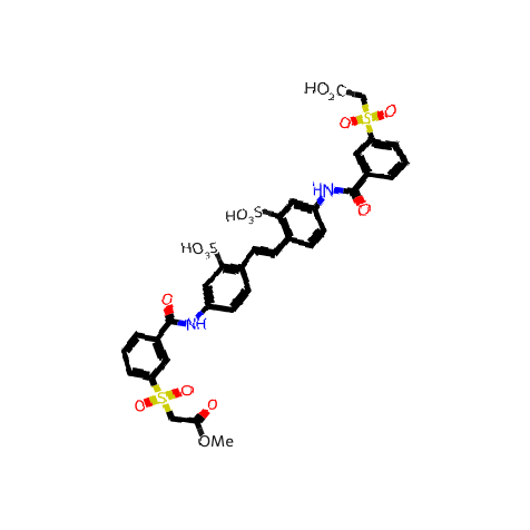 COC(=O)CS(=O)(=O)c1cccc(C(=O)Nc2ccc(C=Cc3ccc(NC(=O)c4cccc(S(=O)(=O)CC(=O)O)c4)cc3S(=O)(=O)O)c(S(=O)(=O)O)c2)c1